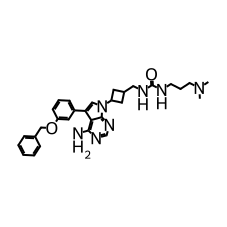 CN(C)CCCNC(=O)NCC1CC(n2cc(-c3cccc(OCc4ccccc4)c3)c3c(N)ncnc32)C1